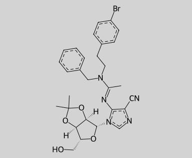 CC(=Nc1c(C#N)ncn1[C@@H]1O[C@H](CO)[C@H]2OC(C)(C)O[C@H]21)N(CCc1ccc(Br)cc1)Cc1ccccc1